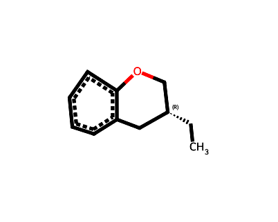 CC[C@H]1COc2ccccc2C1